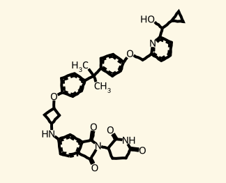 CC(C)(c1ccc(OCc2cccc(C(O)C3CC3)n2)cc1)c1ccc(OC2CC(Nc3ccc4c(c3)C(=O)N(C3CCC(=O)NC3=O)C4=O)C2)cc1